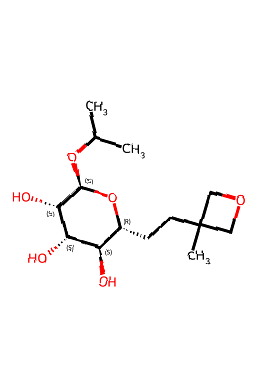 CC(C)O[C@H]1O[C@H](CCC2(C)COC2)[C@@H](O)[C@H](O)[C@@H]1O